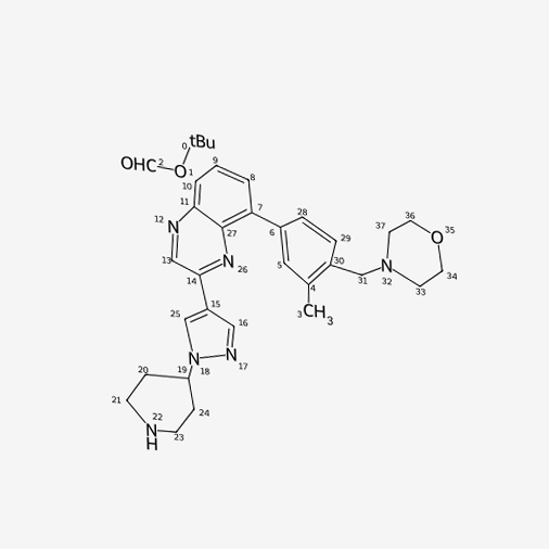 CC(C)(C)OC=O.Cc1cc(-c2cccc3ncc(-c4cnn(C5CCNCC5)c4)nc23)ccc1CN1CCOCC1